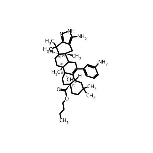 CCCCOC(=O)[C@]12CCC(C)(C)C[C@H]1C1=C(c3cccc(N)c3)CC3[C@@]4(C)Cc5c(n[nH]c5N)C(C)(C)[C@@H]4CC[C@@]3(C)[C@]1(C)CC2